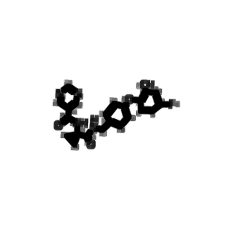 Cc1cc(F)ccc1Oc1ccc(CNC(=O)C2(NC(=O)c3cncnc3)CC2)cc1